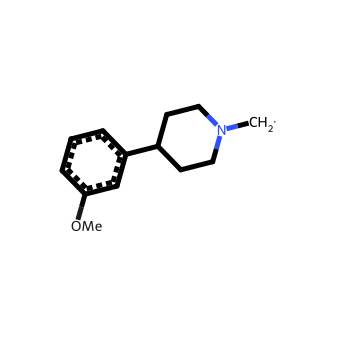 [CH2]N1CCC(c2cccc(OC)c2)CC1